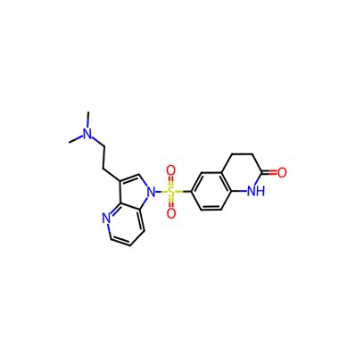 CN(C)CCc1cn(S(=O)(=O)c2ccc3c(c2)CCC(=O)N3)c2cccnc12